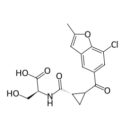 Cc1cc2cc(C(=O)C3C[C@@H]3C(=O)N[C@@H](CO)C(=O)O)cc(Cl)c2o1